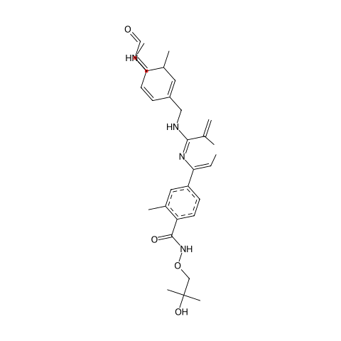 C=C(C)/C(=N\C(=C/C)c1ccc(C(=O)NOCC(C)(C)O)c(C)c1)NCC(/C=C\CNC)=C/C(C)/C=C\C=O